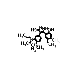 CCCN(c1cc(-c2c(S)n[nH]c2-c2cc(CC)c(C)cc2O)ccc1OC)C(C)C